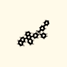 c1ccc(-c2ccc(-c3nc4cc(-c5c6ccccc6c(-c6ccc7ccccc7c6)c6ccccc56)ccc4n3-c3ccccc3)cc2)cc1